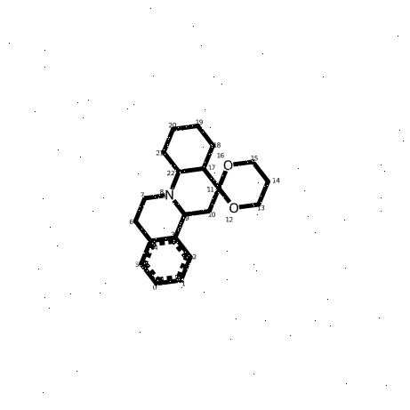 c1ccc2c(c1)CCN1C2CC2(OCCCO2)C2CCCCC21